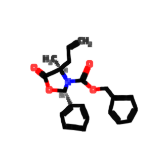 C=CC[C@]1(C)C(=O)O[C@@H](c2ccccc2)N1C(=O)OCc1ccccc1